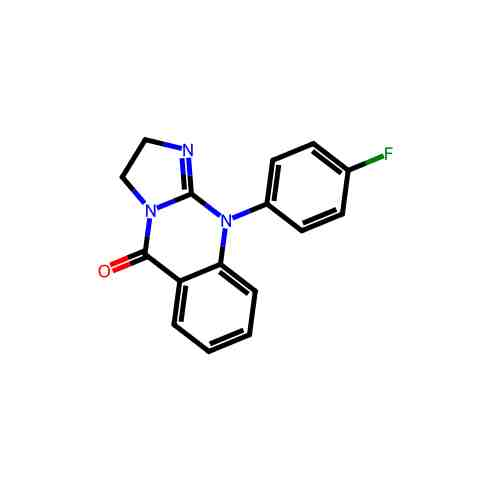 O=C1c2ccccc2N(c2ccc(F)cc2)C2=NCCN12